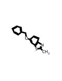 Cc1nc2ccc(OCc3ccccc3)cc2s1